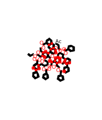 C=CCO[C@@H]1OC(COC(=O)c2ccccc2)[C@H](OCc2ccccc2)C(O[C@H]2OC(COC(=O)c3ccccc3)[C@H](OC(=O)c3ccccc3)C(O[C@@H]3OC(COC(=O)c4ccccc4)[C@H](OCc4ccccc4)C(O[C@H]4OC(COC(=O)c5ccccc5)[C@H](OC(=O)c5ccccc5)[C@H](OC(=O)CCC(C)=O)C4OCc4ccccc4)C3OC(=O)c3ccccc3)C2OCc2ccccc2)C1OC(=O)c1ccccc1